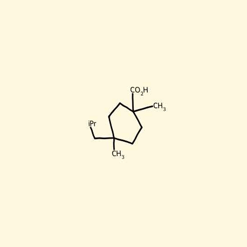 CC(C)CC1(C)CCC(C)(C(=O)O)CC1